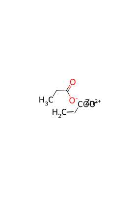 C=CC(=O)[O-].CCC(=O)[O-].[Zn+2]